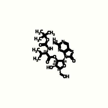 CC(C)[C@H](NC(=O)OC(C)(C)C)C(=O)O[C@@H]1[C@@H](O)[C@@H](CO)O[C@H]1n1c(=O)sc2cnc(N)nc21